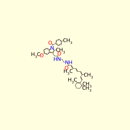 COc1ccc2c(c1)c(CC(=O)NCCNC(=O)/C=C(C)/C=C/C=C(C)\C=C\C1=C(C)CCCC1(C)C)c(C)n2C(=O)c1ccc(C)cc1